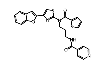 O=C(NCCCN(C(=O)c1cccs1)c1nc(-c2cc3ccccc3o2)cs1)c1ccncc1